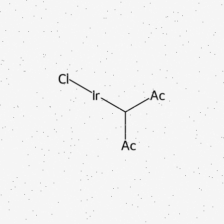 CC(=O)[CH]([Ir][Cl])C(C)=O